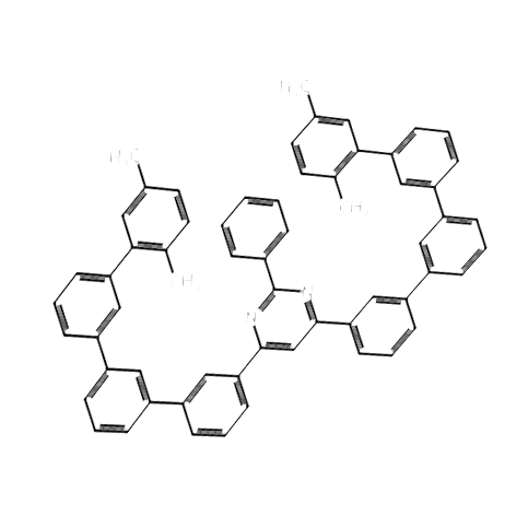 Cc1ccc(C)c(-c2cccc(-c3cccc(-c4cccc(-c5cc(-c6cccc(-c7cccc(-c8cccc(-c9cc(C)ccc9C)c8)c7)c6)nc(-c6ccccc6)n5)c4)c3)c2)c1